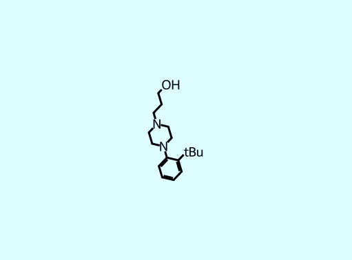 CC(C)(C)c1ccccc1N1CCN(CCCO)CC1